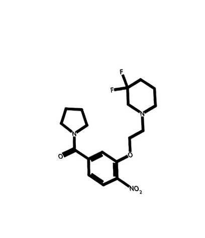 O=C(c1ccc([N+](=O)[O-])c(OCCN2CCCC(F)(F)C2)c1)N1CCCC1